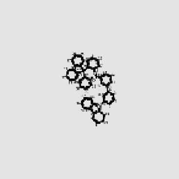 C1=Cc2c(n(-c3cccc(-c4cccc(N5c6ccccc6C(c6ccccc6)(c6ccccc6)c6ccccc65)c4)c3)c3ccccc23)CC1